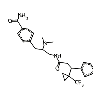 CN(C)C(CNC(=O)CC(c1ccccc1)C1(C(F)(F)F)CC1)Cc1ccc(C(N)=O)cc1